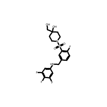 O=S(=O)(c1cc(CNc2cc(F)c(F)c(F)c2)ccc1F)N1CCC(O)(CO)CC1